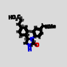 CNCc1ccc(N2C(=O)NCC2c2ccc(CCC(=O)O)cc2)cc1